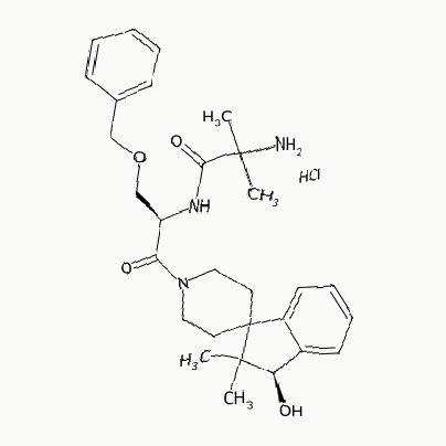 CC(C)(N)C(=O)N[C@H](COCc1ccccc1)C(=O)N1CCC2(CC1)c1ccccc1[C@@H](O)C2(C)C.Cl